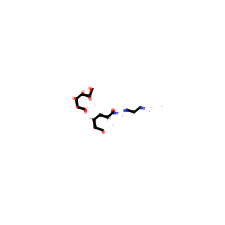 CC(C)(C)NCCCNC(=O)[C@H](O)[C@@H](O)[C@H](OC1OC2COC2C(O)C1O)[C@H](O)CO